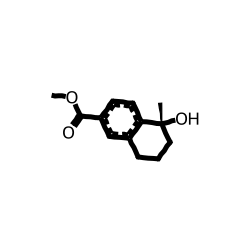 COC(=O)c1ccc2c(c1)CCC[C@@]2(C)O